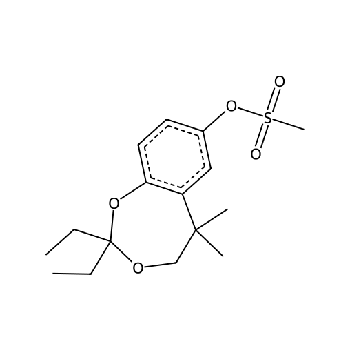 CCC1(CC)OCC(C)(C)c2cc(OS(C)(=O)=O)ccc2O1